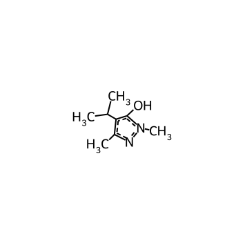 Cc1nn(C)c(O)c1C(C)C